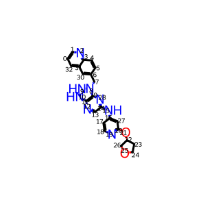 c1cnc2ccc(CN3NNc4ncc(Nc5ccnc(O[C@H]6CCOC6)c5)nc43)cc2c1